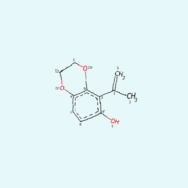 C=C(C)c1c(O)ccc2c1OCCO2